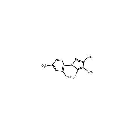 Cc1nn(-c2ccc([N+](=O)[O-])cc2O)c(C)c1C